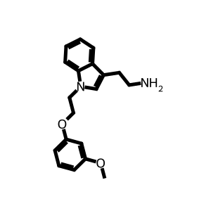 COc1cccc(OCCn2cc(CCN)c3ccccc32)c1